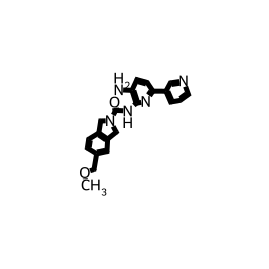 COCc1ccc2c(c1)CN(C(=O)Nc1nc(-c3cccnc3)ccc1N)C2